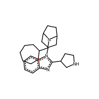 c1ccc2c(c1)nc(C1CCNC1)n2C1CC2CCC(C1)N2CC1CCCCCC1